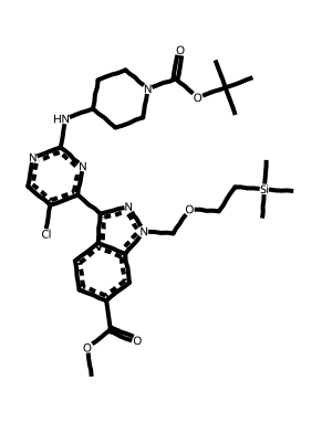 COC(=O)c1ccc2c(-c3nc(NC4CCN(C(=O)OC(C)(C)C)CC4)ncc3Cl)nn(COCC[Si](C)(C)C)c2c1